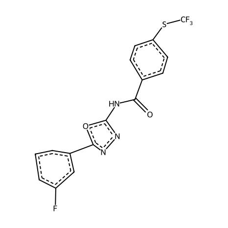 O=C(Nc1nnc(-c2cccc(F)c2)o1)c1ccc(SC(F)(F)F)cc1